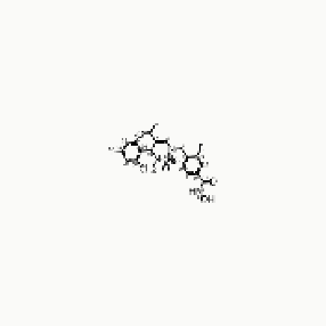 CC(=O)C1=CN(Cc2ccc(C(=O)NO)cc2F)S(=O)(=O)N(C)C1c1ccc(C)cc1Cl